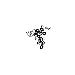 COc1ccc(C(OC[C@H]2O[C@@H](n3cnc4c(NC(=O)c5ccccc5)ncnc43)[C@H](F)[C@@H]2O[Si](C)(C)C(C)(C)C)(c2ccccc2)c2ccc(OC)cc2)cc1